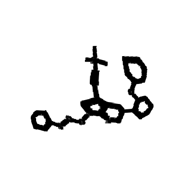 C[Si](C)(C)C#Cc1cn(OOSc2ccccc2)c2ncc(-c3ccccc3Oc3ccccc3)cc12